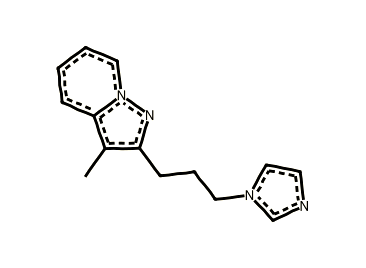 Cc1c(CCCn2ccnc2)nn2ccccc12